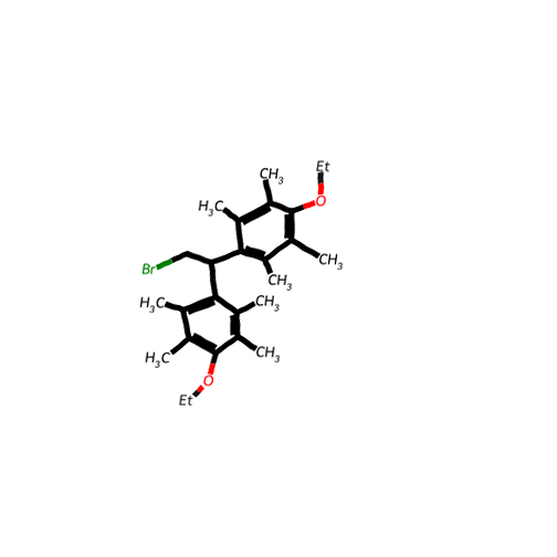 CCOc1c(C)c(C)c(C(CBr)c2c(C)c(C)c(OCC)c(C)c2C)c(C)c1C